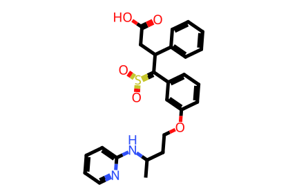 CC(CCOc1cccc(C(C(CC(=O)O)c2ccccc2)=S(=O)=O)c1)Nc1ccccn1